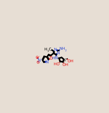 Cc1nc(N)nc(N[C@@H]2C[C@H](CO)[C@@H](O)[C@H]2O)c1-c1cc2cc([N+](=O)[O-])cnc2o1